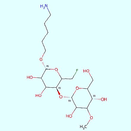 COC1C(O)[C@H](O[C@@H]2C(CF)O[C@@H](OCCCCCN)C(O)C2O)OC(CO)[C@@H]1O